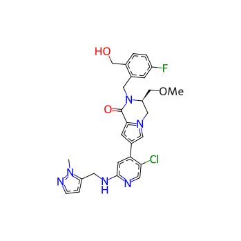 COC[C@H]1Cn2cc(-c3cc(NCc4ccnn4C)ncc3Cl)cc2C(=O)N1Cc1cc(F)ccc1CO